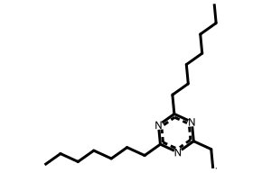 [CH2]Cc1nc(CCCCCCC)nc(CCCCCCC)n1